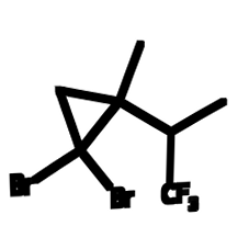 CC(C(F)(F)F)C1(C)CC1(Br)Br